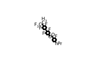 CCCc1ccc(C(=O)Oc2cc(F)c(-c3cc(F)c(C(C)C(F)(F)F)c(F)c3)c(F)c2)c(F)c1